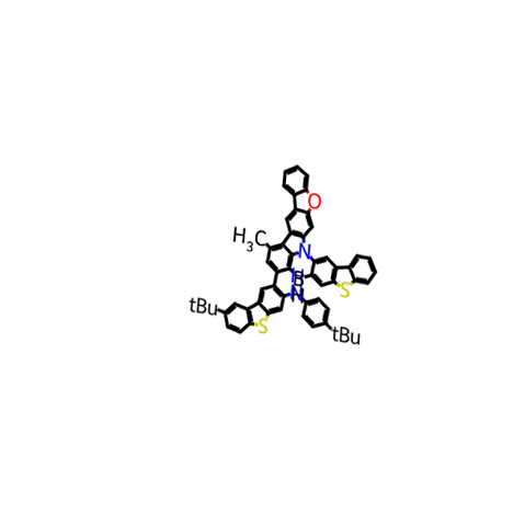 Cc1cc(-c2cc3c(cc2Nc2ccc(C(C)(C)C)cc2)sc2ccc(C(C)(C)C)cc23)c2c3c1c1cc4c(cc1n3-c1cc3c(cc1B2)sc1ccccc13)oc1ccccc14